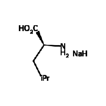 CC(C)C[C@H](N)C(=O)O.[NaH]